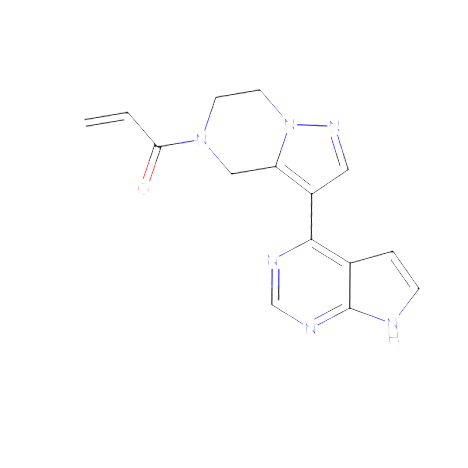 C=CC(=O)N1CCn2ncc(-c3ncnc4[nH]ccc34)c2C1